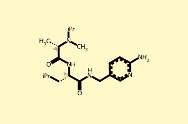 CC(C)C[C@H](NC(=O)[C@H](C)N(C)C(C)C)C(=O)NCc1ccc(N)nc1